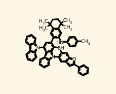 Cc1ccc(Nc2cc3c(cc2-c2cc(-n4c5ccccc5c5ccccc54)c4c5ccccc5n5c4c2Bc2cc4oc(-c6ccccc6)cc4cc2-5)C(C)(C)CCC3(C)C)cc1